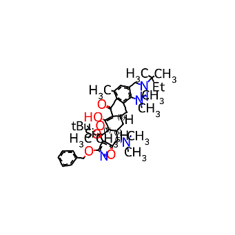 CCC(C)(C)NCc1cc(C)c2c(c1N(C)C)C[C@H]1C[C@H]3[C@H](N(C)C)c4onc(OCc5ccccc5)c4C(=O)[C@@]3(O[Si](C)(C)C(C)(C)C)C(O)=C1C2=O